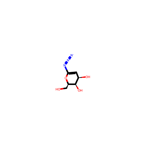 [N-]=[N+]=NC1=C[C@@H](O)[C@@H](O)[C@@H](CO)O1